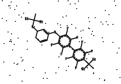 CCC(C)(CC)SC1C=C(Sc2c(F)c(F)c(-c3c(F)c(F)c(C(C)(CC)CC)c(F)c3F)c(F)c2F)C=CC1